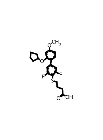 COc1ccc(-c2cc(F)c(SCCCC(=O)O)c(F)c2)c(OC2CCCC2)c1